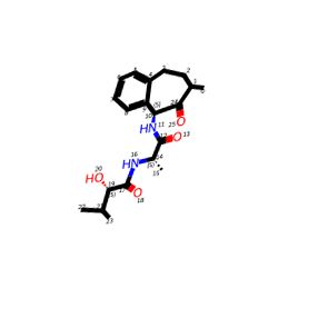 CC1CCc2ccccc2[C@H](NC(=O)[C@H](C)NC(=O)[C@@H](O)C(C)C)C1=O